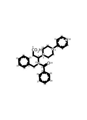 O=C(O)CC(N1CCN(c2ccncc2)CC1)N(Cc1ccccc1)C(=O)c1ccccc1